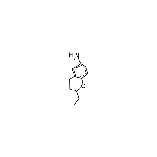 CCC1CCc2cc(N)ccc2O1